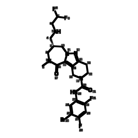 CN1C[C@H](CNCC(F)F)Cn2nc3c(c2C1=O)CN(C(=O)Nc1cc(Br)c(F)cc1F)CC3